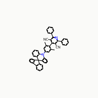 Cc1cc(N2c3ccccc3C3(c4ccccc4-c4ccccc43)c3ccccc32)cc(C)c1-c1c(C#N)c(-c2ccccc2)nc(-c2ccccc2)c1C#N